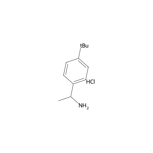 CC(N)c1ccc(C(C)(C)C)cc1.Cl